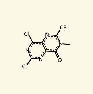 Cn1c(C(F)(F)F)nc2c(Cl)nc(Cl)nc2c1=O